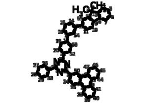 CC1(C)c2ccccc2-c2ccc(-c3cccc(-c4ccc(-c5nc(-c6ccccc6)nc(-c6ccc7c8ccccc8c8ccccc8c7c6)n5)cc4)c3)cc21